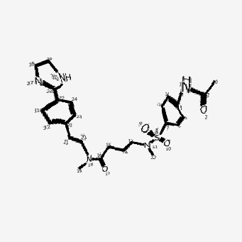 CC(=O)Nc1ccc(S(=O)(=O)N(C)CCCC(=O)N(C)CCc2ccc(C3=NCCN3)cc2)cc1